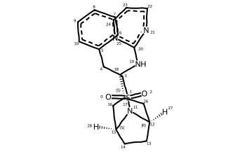 O=S(=O)(CCc1ccccc1)N1[C@@H]2CC[C@H]1C[C@H](CNc1ncccn1)C2